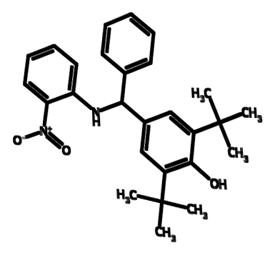 CC(C)(C)c1cc(C(Nc2ccccc2[N+](=O)[O-])c2ccccc2)cc(C(C)(C)C)c1O